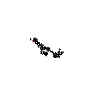 CC(C)(C)[C@H](NC(=O)c1cc2cc(C(F)(F)P(=O)(O)O)ccc2s1)C(=O)N1C[C@@H](OCC(=O)NCCCC#Cc2cccc3c2C(=O)N(C2CCC(=O)NC2=O)C3=O)C[C@H]1C(=O)N1CCOC(c2ccccc2)C1